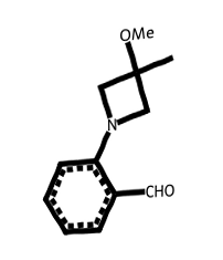 COC1(C)CN(c2ccccc2C=O)C1